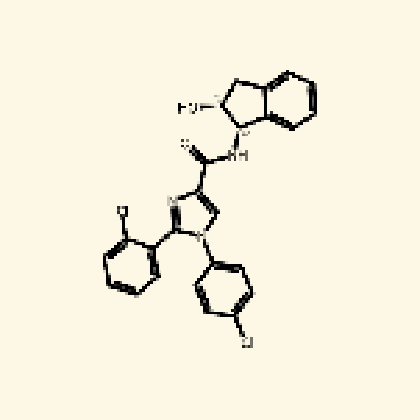 O=C(N[C@@H]1c2ccccc2C[C@@H]1O)c1cn(-c2ccc(Cl)cc2)c(-c2ccccc2Cl)n1